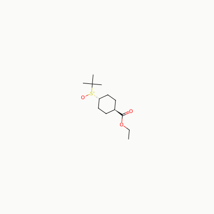 CCOC(=O)[C@H]1CC[C@H]([S+]([O-])C(C)(C)C)CC1